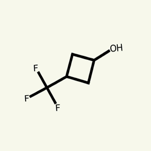 OC1CC(C(F)(F)F)C1